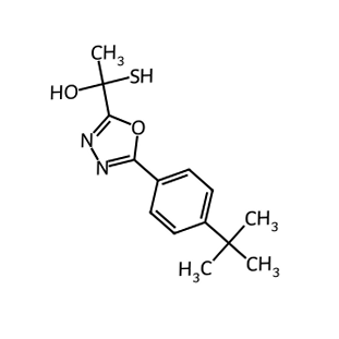 CC(C)(C)c1ccc(-c2nnc(C(C)(O)S)o2)cc1